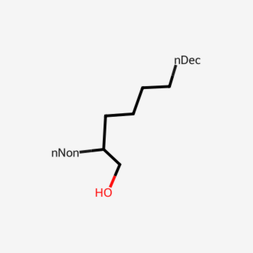 CCCCCCCCCCCCCCC(CO)CCCCCCCCC